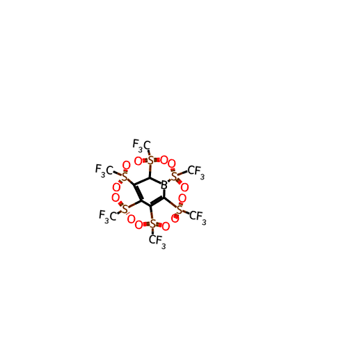 O=S(=O)(B1C(S(=O)(=O)C(F)(F)F)=C(S(=O)(=O)C(F)(F)F)C(S(=O)(=O)C(F)(F)F)=C(S(=O)(=O)C(F)(F)F)C1S(=O)(=O)C(F)(F)F)C(F)(F)F